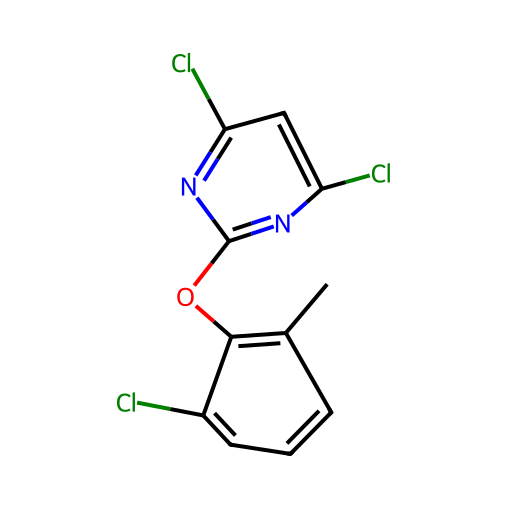 Cc1cccc(Cl)c1Oc1nc(Cl)cc(Cl)n1